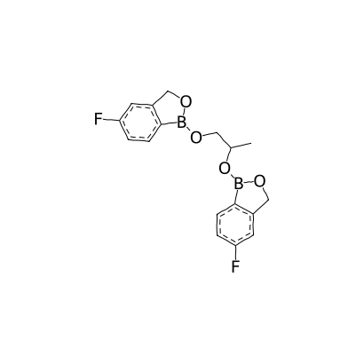 CC(COB1OCc2cc(F)ccc21)OB1OCc2cc(F)ccc21